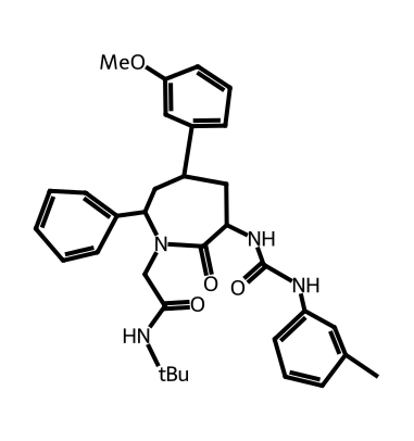 COc1cccc(C2CC(NC(=O)Nc3cccc(C)c3)C(=O)N(CC(=O)NC(C)(C)C)C(c3ccccc3)C2)c1